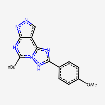 CCCCc1nc2nncc-2c2nc(-c3ccc(OC)cc3)[nH]n12